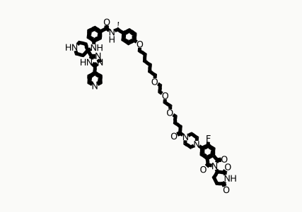 C[C@@H](NC(=O)c1cccc(NC2(c3nnc(-c4ccncc4)[nH]3)CCNCC2)c1)c1ccc(OCCCCCCOCCOCCOCCCC(=O)N2CCN(c3cc4c(cc3F)C(=O)N(C3CCC(=O)NC3=O)C4=O)CC2)cc1